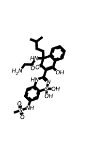 CC(C)CCC1(NC(=O)CN)C(=O)C(C2=NS(O)(O)c3cc(NS(C)(=O)=O)ccc3N2)=C(O)c2ccccc21